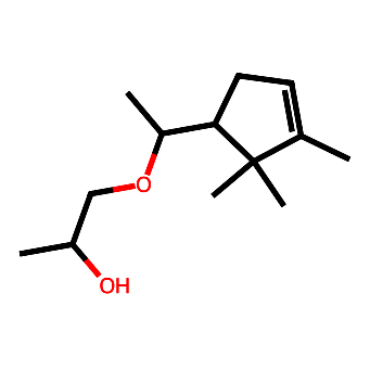 CC1=CCC(C(C)OCC(C)O)C1(C)C